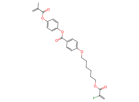 C=C(C)C(=O)Oc1ccc(OC(=O)c2ccc(OCCCCCCOC(=O)C(=C)F)cc2)cc1